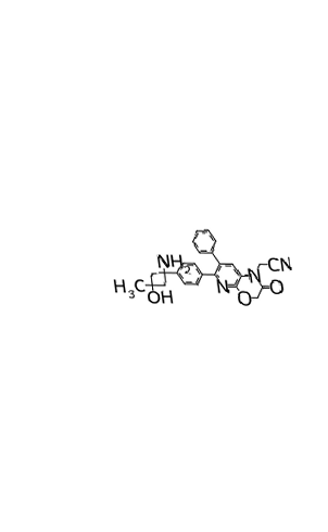 CC1(O)CC(N)(c2ccc(-c3nc4c(cc3-c3ccccc3)N(CC#N)C(=O)CO4)cc2)C1